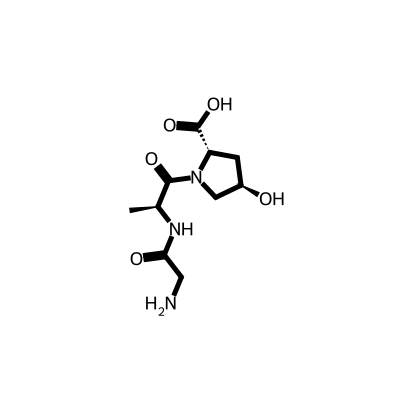 C[C@H](NC(=O)CN)C(=O)N1C[C@H](O)C[C@H]1C(=O)O